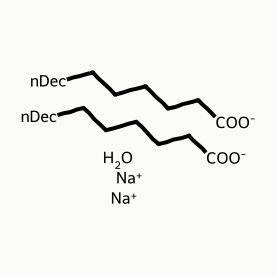 CCCCCCCCCCCCCCCC(=O)[O-].CCCCCCCCCCCCCCCC(=O)[O-].O.[Na+].[Na+]